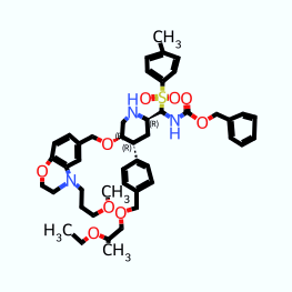 CCOC(C)COCc1ccc([C@H]2C[C@H](C(NC(=O)OCc3ccccc3)S(=O)(=O)c3ccc(C)cc3)NC[C@@H]2OCc2ccc3c(c2)N(CCCOC)CCO3)cc1